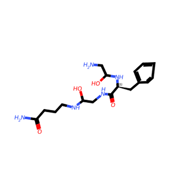 NCC(O)N[C@@H](Cc1ccccc1)C(=O)NCC(O)NCCCC(N)=O